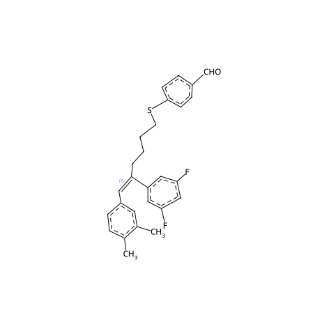 Cc1ccc(/C=C(/CCCCSc2ccc(C=O)cc2)c2cc(F)cc(F)c2)cc1C